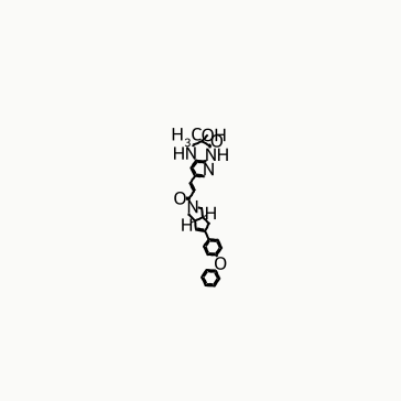 CC1(O)CNc2cc(/C=C/C(=O)N3C[C@H]4CC(c5ccc(Oc6ccccc6)cc5)=C[C@H]4C3)cnc2NC1=O